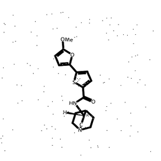 COc1ccc(-c2ccc(C(=O)N[C@H]3CN4CCC3CC4)s2)o1